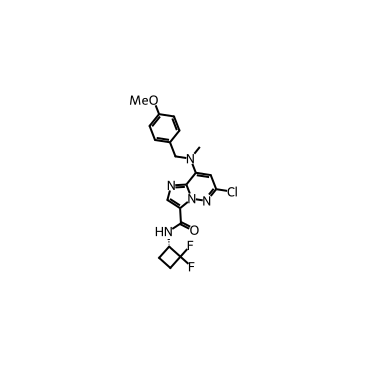 COc1ccc(CN(C)c2cc(Cl)nn3c(C(=O)N[C@H]4CCC4(F)F)cnc23)cc1